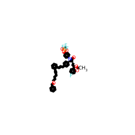 CC(=O)OC(CC[C@H]1C(=O)N(c2ccc(OS(=O)(=O)C(F)(F)F)cc2)[C@@H]1c1ccc(CC=Cc2ccccc2C#CCCCCOCc2ccccc2)cc1)c1ccc(F)cc1